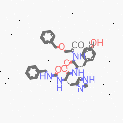 O=C(NCc1ccccc1)N[C@@H](Cc1c[nH]cn1)C(=O)N[C@@H](Cc1ccc(O)cc1)C(=O)NC(COCc1ccccc1)C(=O)O